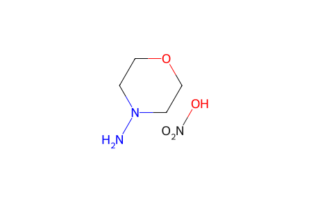 NN1CCOCC1.O=[N+]([O-])O